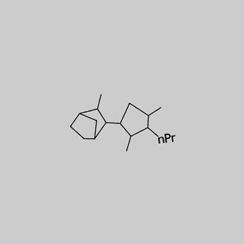 CCCC1C(C)CC(C2C3CCC(C3)C2C)C1C